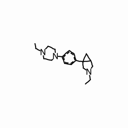 CCN1CCN(c2ccc(C34CC3CN(CC)C4)cc2)CC1